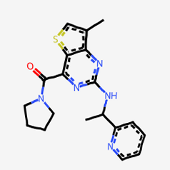 Cc1csc2c(C(=O)N3CCCC3)nc(NC(C)c3ccccn3)nc12